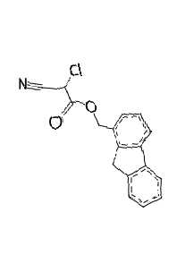 N#CC(Cl)C(=O)OCc1cccc2c1Cc1ccccc1-2